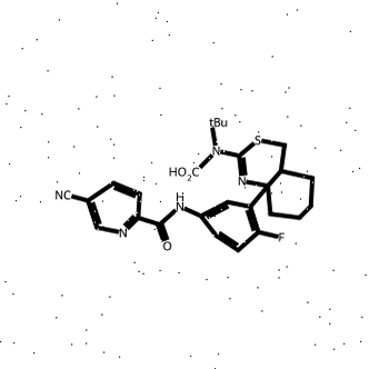 CC(C)(C)N(C(=O)O)C1=NC2(c3cc(NC(=O)c4ccc(C#N)cn4)ccc3F)CCCCC2CS1